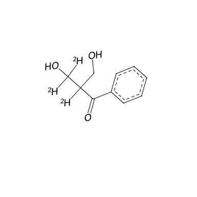 [2H]C([2H])(O)C([2H])(CO)C(=O)c1ccccc1